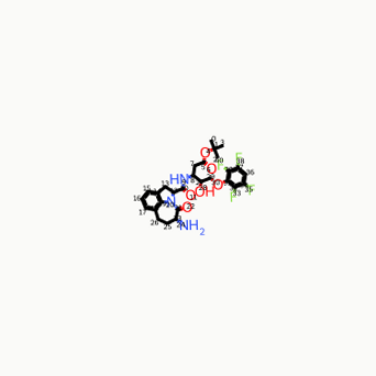 CC(C)(C)OC(=O)CC(NC(=O)C1Cc2cccc3c2N1C(=O)C(N)CC3)C(O)COc1c(F)c(F)cc(F)c1F